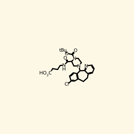 CC(C)(C)OC(=O)N1CCN(C2c3ccc(Cl)cc3CCc3cccnc32)CC1C(=O)NCCCC(=O)O